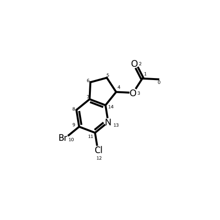 CC(=O)OC1CCc2cc(Br)c(Cl)nc21